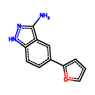 Nc1n[nH]c2ccc(-c3ccco3)cc12